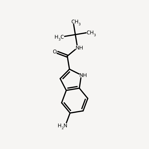 CC(C)(C)NC(=O)c1cc2cc(N)ccc2[nH]1